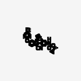 CCc1cnc(Oc2ccc3c(C#N)c(-c4ccc(NC(=O)O[C@H](C)C5CC5)cc4Cl)n(C4CCC4)c3c2)nc1